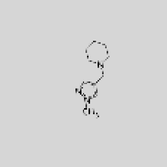 Cn1cc(CN2CCCCC2)cn1